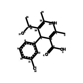 CC1=C(C(=O)O)C(c2cccc(Cl)c2)C([S+](C)[O-])=C(C)N1